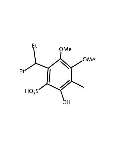 CCC(CC)c1c(OC)c(OC)c(C)c(O)c1S(=O)(=O)O